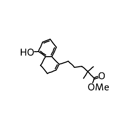 COC(=O)C(C)(C)CCCC1=CCCc2c(O)cccc21